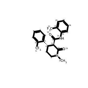 CN1CC[C@H](c2ccccc2C(F)(F)F)[C@@H](C(=O)Nc2ccccc2C(F)(F)F)C1=O